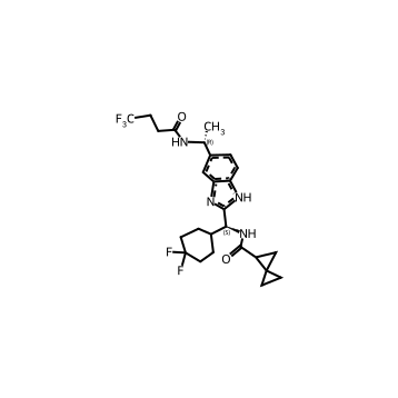 C[C@@H](NC(=O)CCC(F)(F)F)c1ccc2[nH]c([C@@H](NC(=O)C3CC34CC4)C3CCC(F)(F)CC3)nc2c1